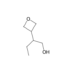 CCC(CO)C1COC1